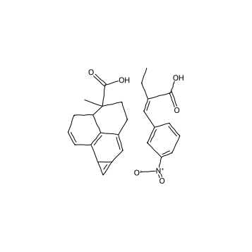 CC1(C(=O)O)CCC2=CC3=CC3C3=C2C1CC=C3.CCC(=Cc1cccc([N+](=O)[O-])c1)C(=O)O